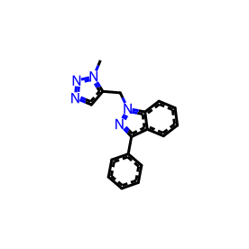 Cn1nncc1Cn1nc(-c2ccccc2)c2ccccc21